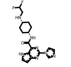 O=C(N[C@H]1CC[C@@H](NCC(F)F)CC1)c1nc(-n2ccnc2)nc2cc[nH]c12